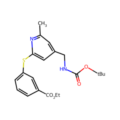 CCOC(=O)c1cccc(Sc2cc(CNC(=O)OC(C)(C)C)cc(C)n2)c1